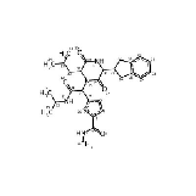 CNC(=O)c1ccc(C(C(=O)NC(C)C)N2C(=O)C(C3Cc4ccccc4C3)NC(=O)C2CC(C)C)s1